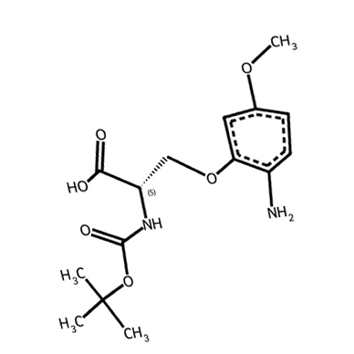 COc1ccc(N)c(OC[C@H](NC(=O)OC(C)(C)C)C(=O)O)c1